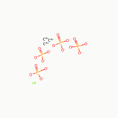 F.O=P([O-])([O-])[O-].O=P([O-])([O-])[O-].O=P([O-])([O-])[O-].O=P([O-])([O-])[O-].[C+4].[C+4].[C+4]